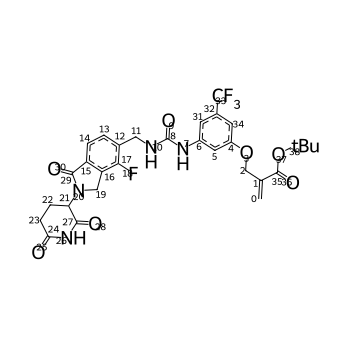 C=C(COc1cc(NC(=O)NCc2ccc3c(c2F)CN(C2CCC(=O)NC2=O)C3=O)cc(C(F)(F)F)c1)C(=O)OC(C)(C)C